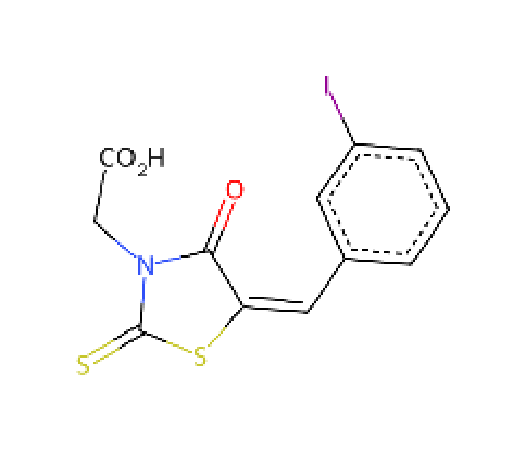 O=C(O)CN1C(=O)/C(=C\c2cccc(I)c2)SC1=S